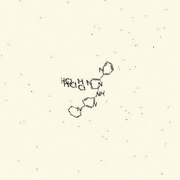 Cl.Cl.Cl.c1ccc(-c2cncc(Nc3ccc(N4CCCCC4)cn3)n2)nc1